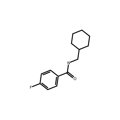 O=C([N]CC1CCCCC1)c1ccc(F)cc1